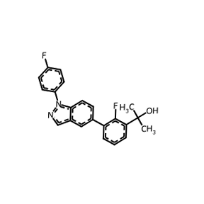 CC(C)(O)c1cccc(-c2ccc3c(cnn3-c3ccc(F)cc3)c2)c1F